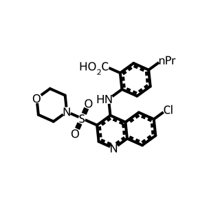 CCCc1ccc(Nc2c(S(=O)(=O)N3CCOCC3)cnc3ccc(Cl)cc23)c(C(=O)O)c1